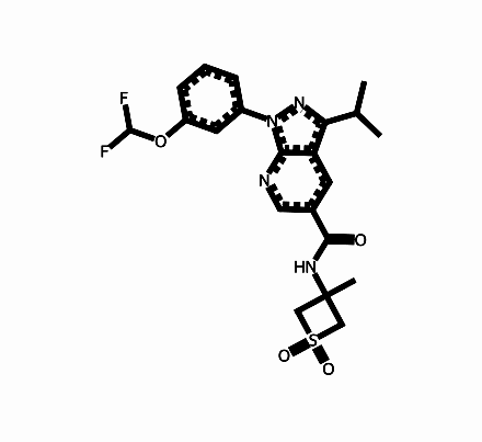 CC(C)c1nn(-c2cccc(OC(F)F)c2)c2ncc(C(=O)NC3(C)CS(=O)(=O)C3)cc12